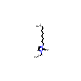 CCCCCCCCCCCCCCCCCn1cc[n+](CCCCCCCCCCC)c1CCC